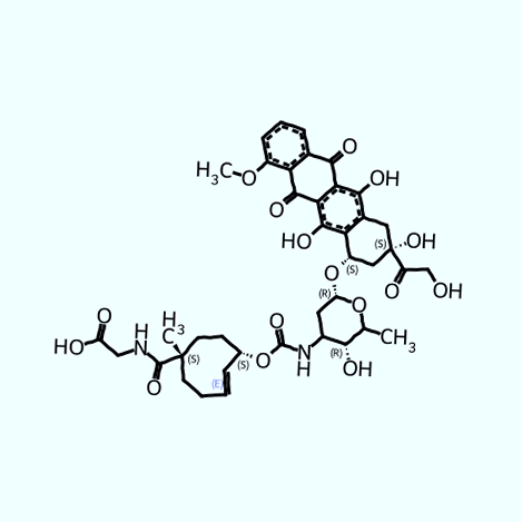 COc1cccc2c1C(=O)c1c(O)c3c(c(O)c1C2=O)C[C@@](O)(C(=O)CO)C[C@@H]3O[C@H]1CC(NC(=O)O[C@@H]2/C=C/CC[C@](C)(C(=O)NCC(=O)O)CC2)[C@@H](O)C(C)O1